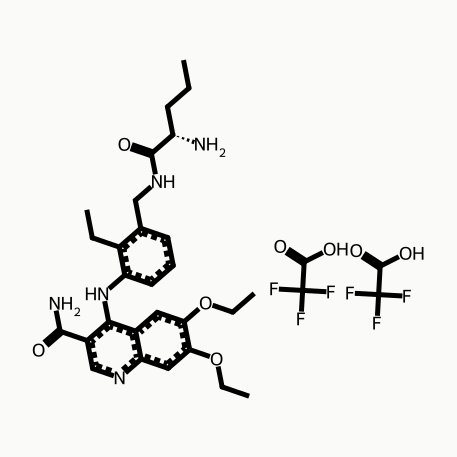 CCC[C@H](N)C(=O)NCc1cccc(Nc2c(C(N)=O)cnc3cc(OCC)c(OCC)cc23)c1CC.O=C(O)C(F)(F)F.O=C(O)C(F)(F)F